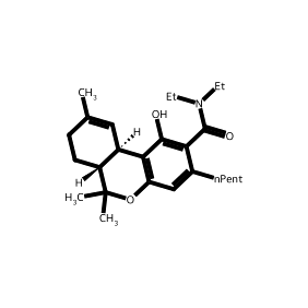 CCCCCc1cc2c(c(O)c1C(=O)N(CC)CC)[C@@H]1C=C(C)CC[C@H]1C(C)(C)O2